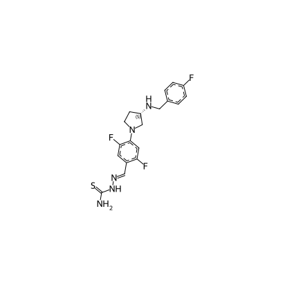 NC(=S)NN=Cc1cc(F)c(N2CC[C@H](NCc3ccc(F)cc3)C2)cc1F